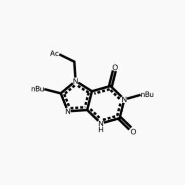 CCCCc1nc2[nH]c(=O)n(CCCC)c(=O)c2n1CC(C)=O